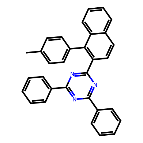 Cc1ccc(-c2c(-c3nc(-c4ccccc4)nc(-c4ccccc4)n3)ccc3ccccc23)cc1